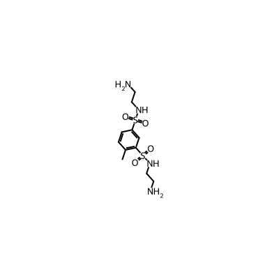 Cc1ccc(S(=O)(=O)NCCN)cc1S(=O)(=O)NCCN